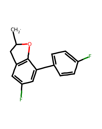 [CH2]C1Cc2cc(F)cc(-c3ccc(F)cc3)c2O1